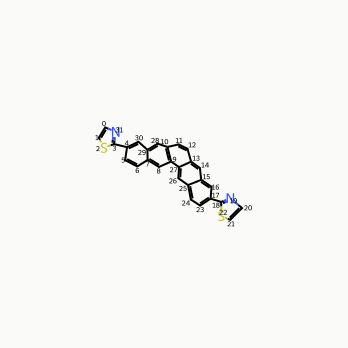 c1csc(-c2ccc3cc4c(ccc5cc6cc(-c7nccs7)ccc6cc54)cc3c2)n1